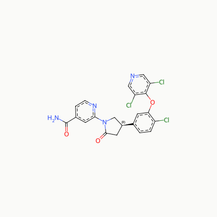 NC(=O)c1ccnc(N2C[C@@H](c3ccc(Cl)c(Oc4c(Cl)cncc4Cl)c3)CC2=O)c1